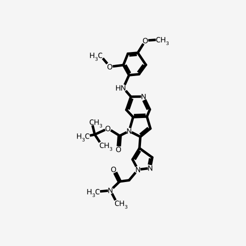 COc1ccc(Nc2cc3c(cn2)cc(-c2cnn(CC(=O)N(C)C)c2)n3C(=O)OC(C)(C)C)c(OC)c1